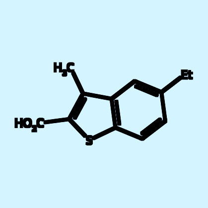 CCc1ccc2sc(C(=O)O)c(C)c2c1